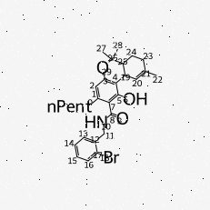 CCCCCc1cc2c(c(O)c1C(=O)NCc1ccccc1Br)C1C=C(C)CCC1C(C)(C)O2